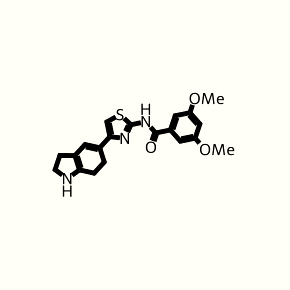 COc1cc(OC)cc(C(=O)Nc2nc(C3=CC4=C(CC3)NCC4)cs2)c1